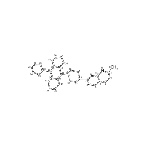 Cc1ccc2ccc(-c3ccc(-c4c5ccccc5c(-c5ccccc5)c5ccccc45)cc3)cc2n1